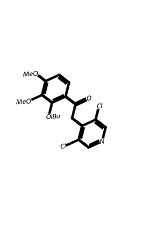 COc1ccc(C(=O)Cc2c(Cl)cncc2Cl)c(OCC(C)C)c1OC